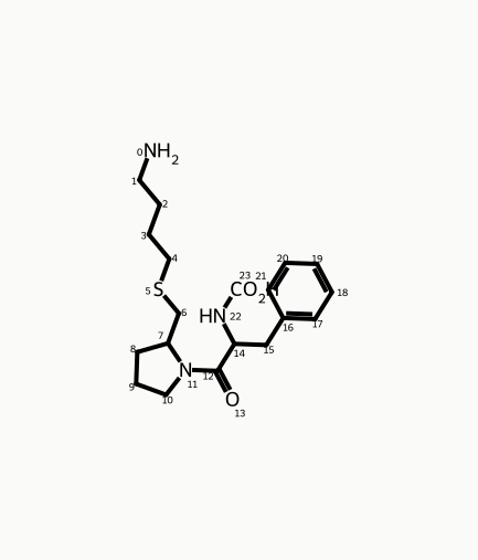 NCCCCSCC1CCCN1C(=O)C(Cc1ccccc1)NC(=O)O